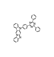 c1ccc(-c2nc(-c3ccccc3)nc(-c3ccc(-n4c5ccccc5c5cn6c(cc54)nc4ccccc46)cc3)n2)cc1